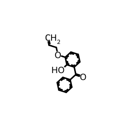 C=CCOc1cccc(C(=O)c2ccccc2)c1O